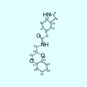 O=C(Cc1ccc2[nH]ccc2c1)NCC1COc2ccccc2O1